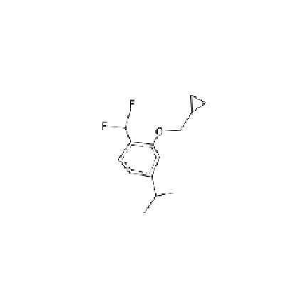 CC(C)c1ccc(C(F)F)c(OCC2CC2)c1